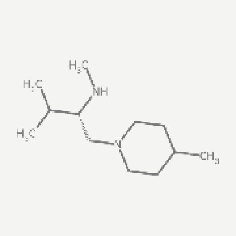 CN[C@H](CN1CCC(C)CC1)C(C)C